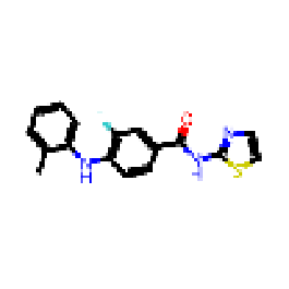 Cc1ccccc1Nc1ccc(C(=O)Nc2nccs2)cc1F